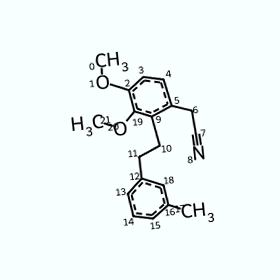 COc1ccc(CC#N)c(CCc2cccc(C)c2)c1OC